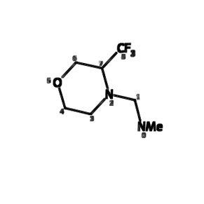 CNCN1CCOCC1C(F)(F)F